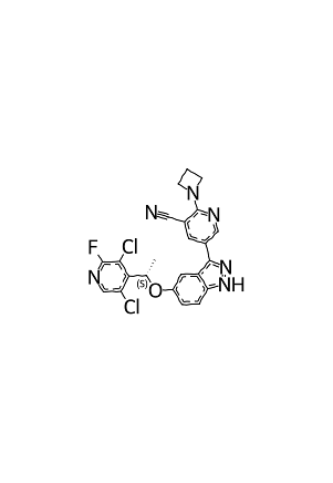 C[C@H](Oc1ccc2[nH]nc(-c3cnc(N4CCC4)c(C#N)c3)c2c1)c1c(Cl)cnc(F)c1Cl